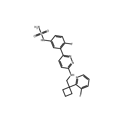 NS(=O)(=O)Nc1ccc(F)c(-c2ccc(NCC3(c4ncccc4F)CCC3)nn2)c1